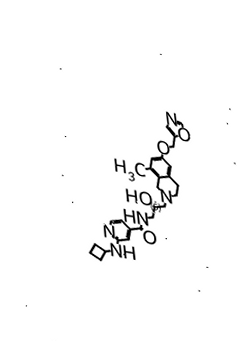 Cc1cc(OCc2cnco2)cc2c1CN(C[C@@H](O)CNC(=O)c1ccnc(NC3CCC3)c1)CC2